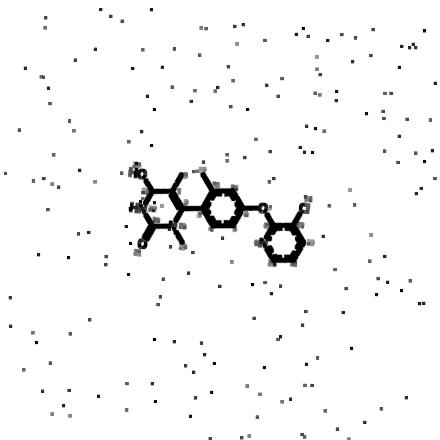 CC1=C(c2ccc(Oc3ncccc3Cl)cc2C)N(C)C(=O)NC1O